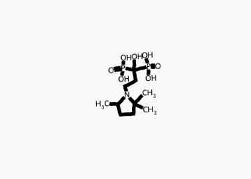 CC1CCC(C)(C)N1CCC(O)(P(=O)(O)O)P(=O)(O)O